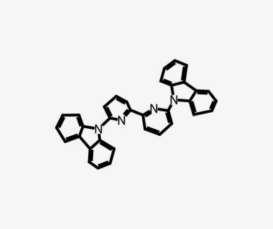 c1cc(-c2cccc(-n3c4ccccc4c4ccccc43)n2)nc(-n2c3ccccc3c3ccccc32)c1